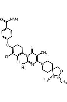 CNC(=O)c1ccc(OC2=C(Cl)C(Cl)=C(n3c(C)nc(N4CCC5(CC4)CO[C@@H](C)[C@H]5N)c(C)c3=O)CC2)cc1